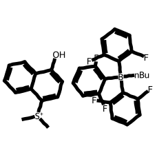 CCCC[B-](c1c(F)cccc1F)(c1c(F)cccc1F)c1c(F)cccc1F.C[S+](C)c1ccc(O)c2ccccc12